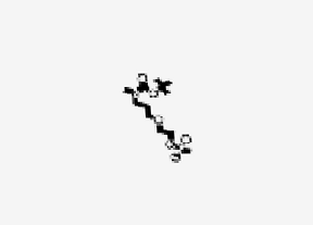 CN(CCCOCCOS(C)(=O)=O)C(=O)OC(C)(C)C